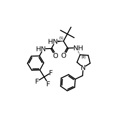 CC(C)(C)[C@H](NC(=O)Nc1cccc(C(F)(F)F)c1)C(=O)N[C@@H]1CCN(Cc2ccccc2)C1